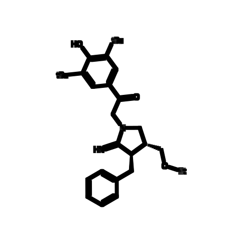 CCOC[C@H]1CN(CC(=O)c2cc(C(C)(C)C)c(O)c(C(C)(C)C)c2)C(=N)[C@@H]1Cc1ccccc1